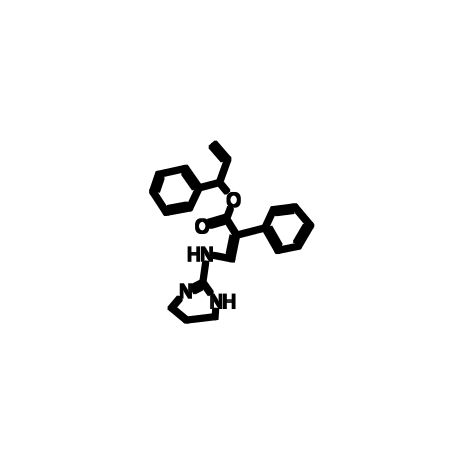 C=CC(OC(=O)C(=CNC1=NCCCN1)c1ccccc1)c1ccccc1